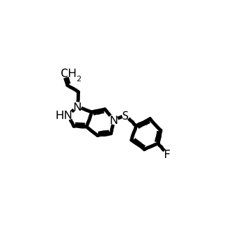 C=CCN1NC=C2C=CN(Sc3ccc(F)cc3)C=C21